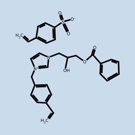 C=Cc1ccc(C[n+]2ccn(CC(O)COC(=O)c3ccccc3)c2)cc1.C=Cc1ccc(S(=O)(=O)[O-])cc1